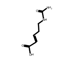 NC(=O)N[CH]CC=CC(=O)O